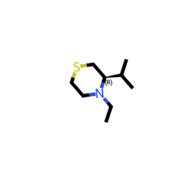 CCN1CCSC[C@H]1C(C)C